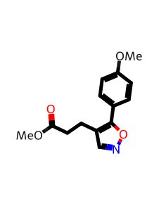 COC(=O)CCc1cnoc1-c1ccc(OC)cc1